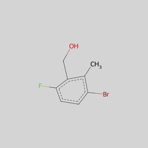 Cc1c(Br)ccc(F)c1CO